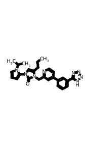 CCCc1cn(-c2cccn2C(C)C)c(=O)n1Cc1cc(-c2cccc(-c3nnn[nH]3)c2)ccn1